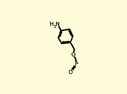 Nc1ccc(COP=O)cc1